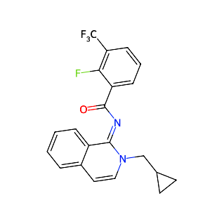 O=C(/N=c1\c2ccccc2ccn1CC1CC1)c1cccc(C(F)(F)F)c1F